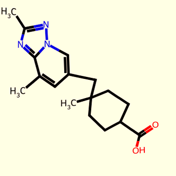 Cc1nc2c(C)cc(CC3(C)CCC(C(=O)O)CC3)cn2n1